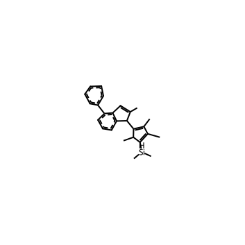 CC1=Cc2c(-c3ccccc3)cccc2C1C1=C(C)C(C)=C([SiH](C)C)C1C